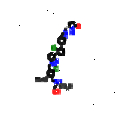 COc1cc(Cn2nnc3c(-c4cccc(-c5ccc(CNC[C@@H]6CCC(=O)N6)cc5)c4Cl)cccc32)c(Cl)cc1CN[C@@H](CO)C(=O)O